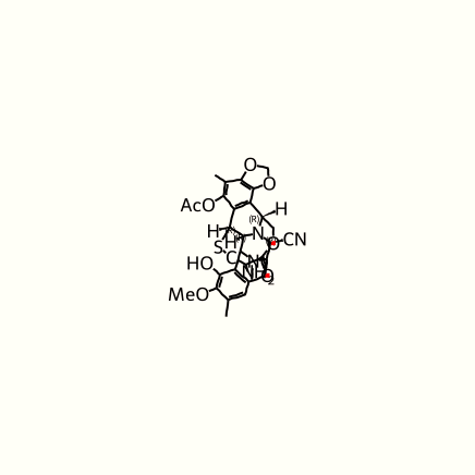 COc1c(C)cc2c(c1O)C1[C@@H]3[C@@H]4SCC(N)C(=O)OC[C@@H](c5c6c(c(C)c(OC(C)=O)c54)OCO6)N3[C@@H](C#N)C(C2)N1C